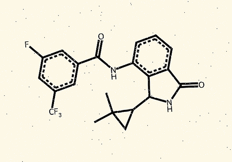 CC1(C)CC1C1NC(=O)c2cccc(NC(=O)c3cc(F)cc(C(F)(F)F)c3)c21